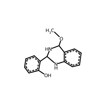 COC1NC(c2ccccc2O)Nc2ccccc21